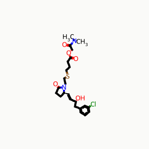 CN(C)C(=O)COC(=O)CCCSCCN1C(=O)CC[C@@H]1/C=C/[C@@H](O)Cc1cccc(Cl)c1